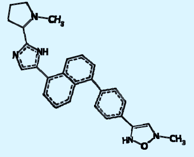 CN1C=C(c2ccc(-c3cccc4c(-c5cnc(C6CCCN6C)[nH]5)cccc34)cc2)NO1